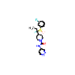 CCC(F)(C1CCN(C(=O)Nc2ccnnc2)CC1)[S+]([O-])c1cccc(F)c1